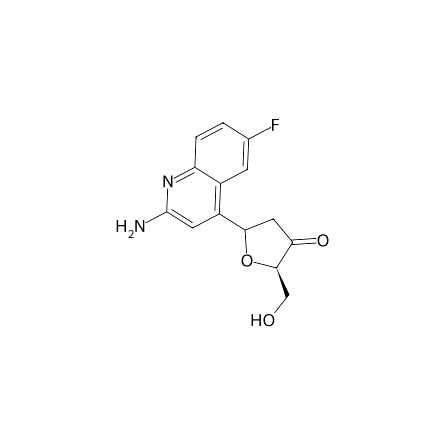 Nc1cc(C2CC(=O)[C@@H](CO)O2)c2cc(F)ccc2n1